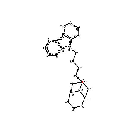 c1ccc2c(c1)c1ccccc1p2CCCCCB1C2CCCC1CCC2